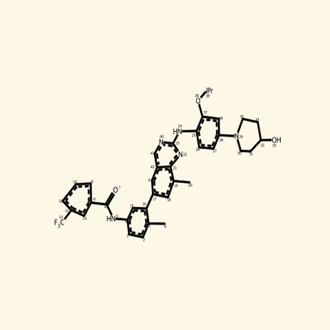 Cc1ccc(NC(=O)c2cccc(C(F)(F)F)c2)cc1-c1cc(C)c2nc(Nc3ccc(N4CCC(O)CC4)cc3OC(C)C)ncc2c1